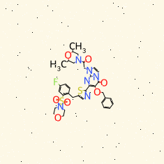 CC1CN(C(=O)Cn2ccn3c(=O)c(OCc4ccccc4)c(-c4ncc(Cc5ccc(F)cc5S(=O)(=O)N5CCOCC5)s4)nc23)CC(C)O1